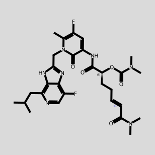 Cc1c(F)cc(NC(=O)[C@H](CC/C=C/C(=O)N(C)C)OC(=O)N(C)C)c(=O)n1Cc1nc2c(F)cnc(CC(C)C)c2[nH]1